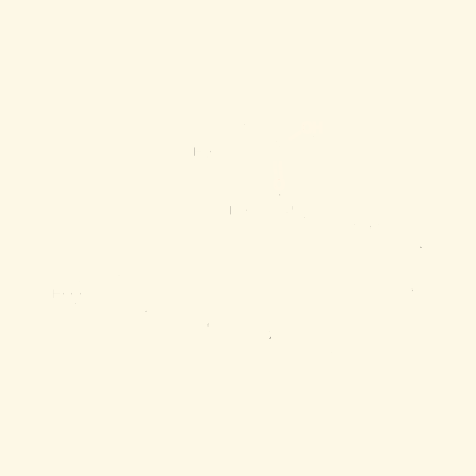 CC(=O)O.CCC(=O)O.CCCCC/C=C\C/C=C\CCCCCCCC(=O)O